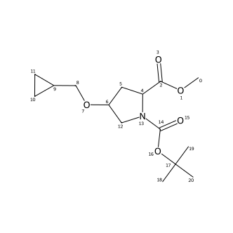 COC(=O)C1CC(OCC2CC2)CN1C(=O)OC(C)(C)C